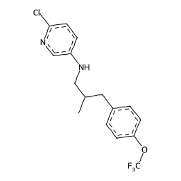 CC(CNc1ccc(Cl)nc1)Cc1ccc(OC(F)(F)F)cc1